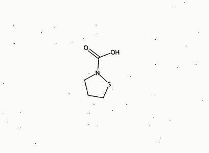 O=C(O)N1CCCS1